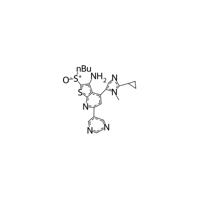 CCCC[S+]([O-])c1sc2nc(-c3cncnc3)cc(-c3cnc(C4CC4)n3C)c2c1N